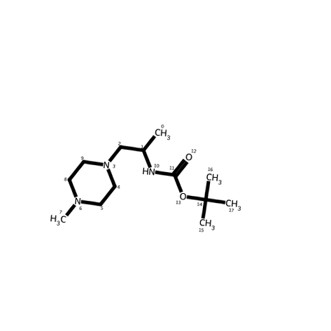 CC(CN1CCN(C)CC1)NC(=O)OC(C)(C)C